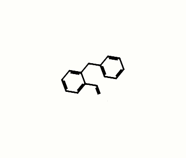 C=Cc1ccccc1Cc1ccccc1